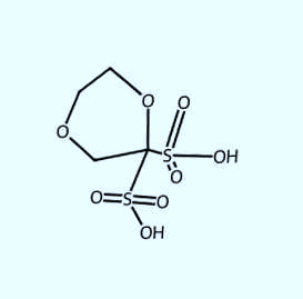 O=S(=O)(O)C1(S(=O)(=O)O)COCCO1